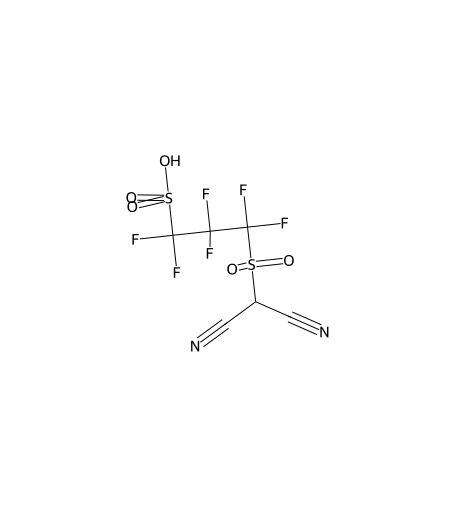 N#CC(C#N)S(=O)(=O)C(F)(F)C(F)(F)C(F)(F)S(=O)(=O)O